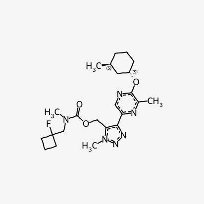 Cc1nc(-c2nnn(C)c2COC(=O)N(C)CC2(F)CCC2)cnc1O[C@H]1CCC[C@H](C)C1